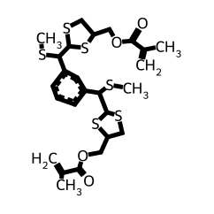 C=C(C)C(=O)OCC1CSC(C(SC)c2cccc(C(SC)C3SCC(COC(=O)C(=C)C)S3)c2)S1